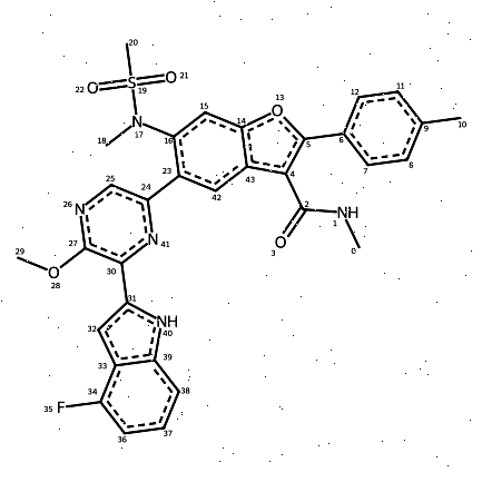 CNC(=O)c1c(-c2ccc(C)cc2)oc2cc(N(C)S(C)(=O)=O)c(-c3cnc(OC)c(-c4cc5c(F)cccc5[nH]4)n3)cc12